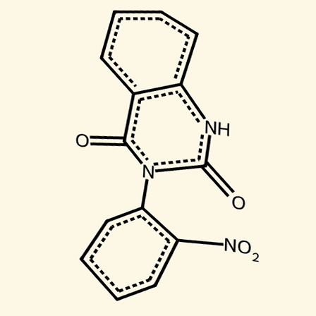 O=c1[nH]c2ccccc2c(=O)n1-c1ccccc1[N+](=O)[O-]